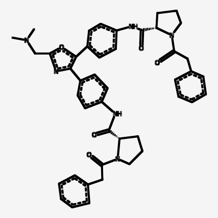 CN(C)Cc1nc(-c2ccc(NC(=O)[C@@H]3CCCN3C(=O)Cc3ccccc3)cc2)c(-c2ccc(NC(=O)[C@@H]3CCCN3C(=O)Cc3ccccc3)cc2)o1